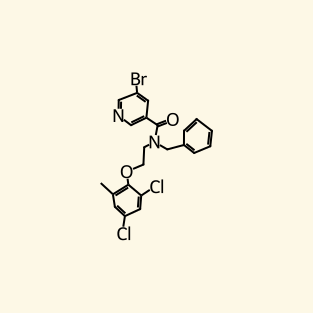 Cc1cc(Cl)cc(Cl)c1OCCN(Cc1ccccc1)C(=O)c1cncc(Br)c1